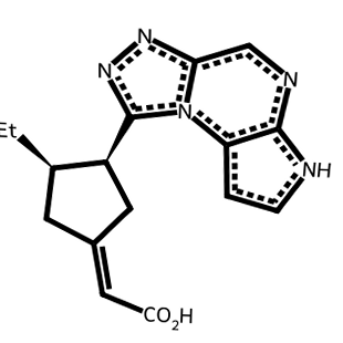 CC[C@@H]1C/C(=C/C(=O)O)C[C@@H]1c1nnc2cnc3[nH]ccc3n12